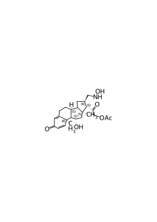 CC(=O)OCC(=O)[C@H]1[C@H](CNO)CC2[C@@H]3CCC4=CC(=O)C=C[C@]4(C)C3[C@@H](O)C[C@@]21C